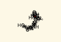 Cc1cc(-c2ccn3nc(Nc4ccc(C(=O)NCC(C)(C)O)cn4)cc3c2)c(O[C@H]2C[C@H]3COC[C@@H](C2)N3C(=O)O)cn1